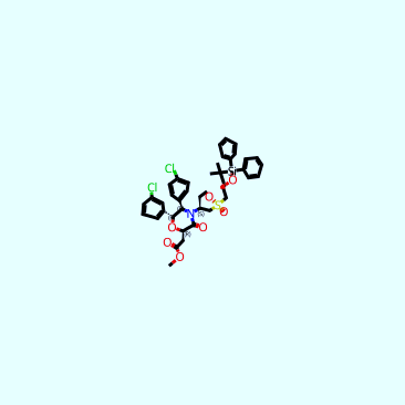 CC[C@@H](CS(=O)(=O)CCO[Si](c1ccccc1)(c1ccccc1)C(C)(C)C)N1C(=O)[C@@H](CC(=O)OC)O[C@H](c2cccc(Cl)c2)[C@H]1c1ccc(Cl)cc1